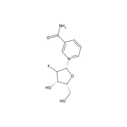 NC(=O)c1ccc[n+]([C@@H]2O[C@H](CO)[C@H](O)C2F)c1